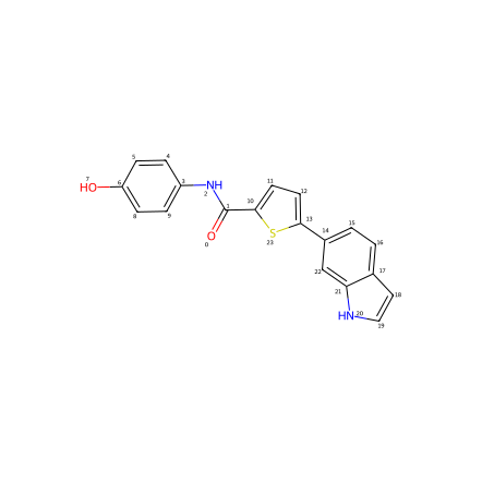 O=C(Nc1ccc(O)cc1)c1ccc(-c2ccc3cc[nH]c3c2)s1